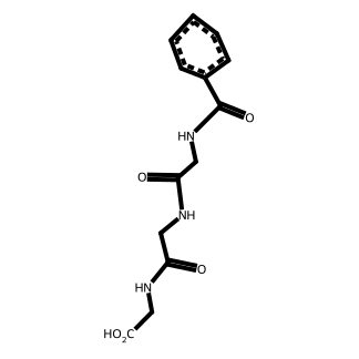 O=C(O)CNC(=O)CNC(=O)CNC(=O)c1ccccc1